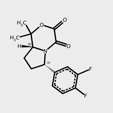 CC1(C)OC(=O)C(=O)N2[C@H](c3ccc(F)c(F)c3)CC[C@@H]21